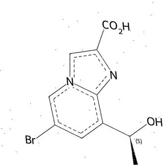 C[C@H](O)c1cc(Br)cn2cc(C(=O)O)nc12